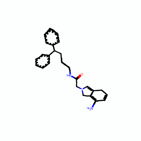 NC1=C2CN(CC(=O)NCCCC(c3ccccc3)c3ccccc3)C=C2CC=C1